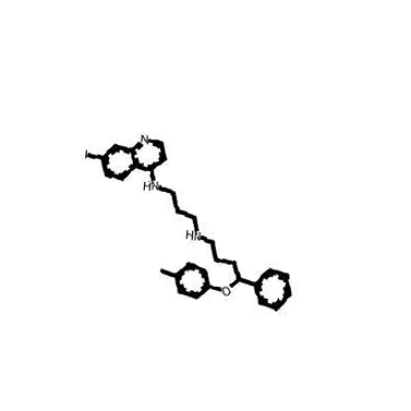 Cc1ccc(OC(CCCNCCCNc2ccnc3cc(I)ccc23)c2ccccc2)cc1